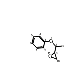 CC(Oc1c[c]ccc1)C1CO1